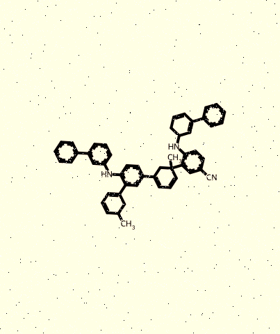 CC1C=CC=C(c2cc(C3=CC=CC(C)(c4cc(C#N)ccc4NC4C=C(c5ccccc5)C=CC4)C3)ccc2Nc2cccc(-c3ccccc3)c2)C1